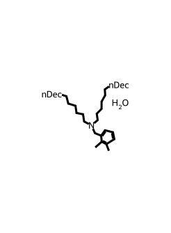 CCCCCCCCCCCCCCCCN(CCCCCCCCCCCCCCCC)Cc1cccc(C)c1C.O